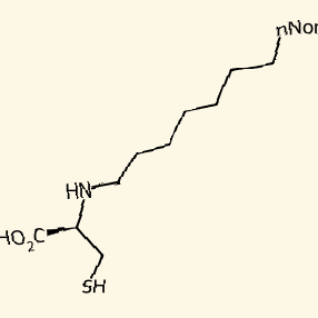 CCCCCCCCCCCCCCCCN[C@@H](CS)C(=O)O